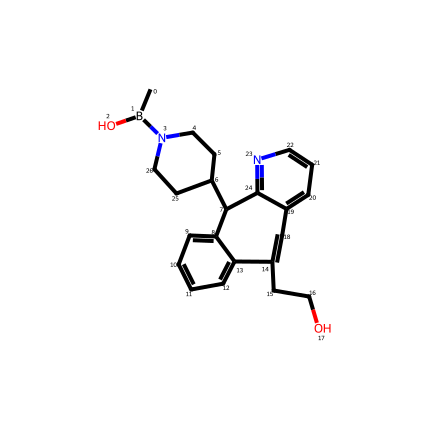 CB(O)N1CCC(C2c3ccccc3C(CCO)=Cc3cccnc32)CC1